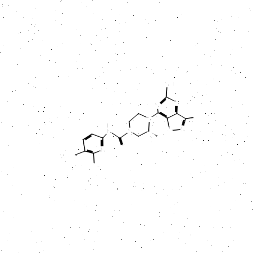 CC[C@H]1CN(C(=O)Nc2ccc(OC)c(C(F)(F)F)n2)CCN1c1nc(N)nc2c(C)noc12